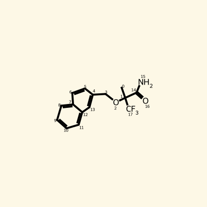 CC(OCc1ccc2ccccc2c1)(C(N)=O)C(F)(F)F